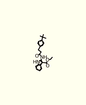 CCOC(=O)c1c(NC(=O)CCc2ccc(C(C)(C)C)cc2)[nH]c2ccccc12